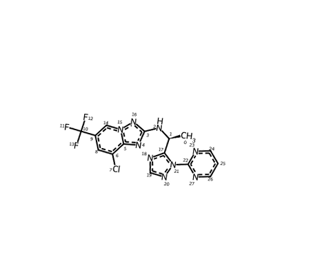 C[C@H](Nc1nc2c(Cl)cc(C(F)(F)F)cn2n1)c1ncnn1-c1ncccn1